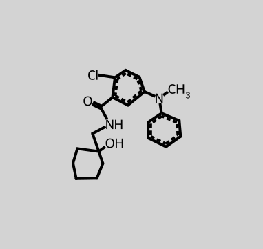 CN(c1ccccc1)c1ccc(Cl)c(C(=O)NCC2(O)CCCCC2)c1